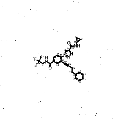 O=C(NCC(F)(F)F)c1ccc(-n2cc(C(=O)NC3CC3)nn2)c(C#CCCc2ccccc2)c1